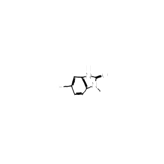 Cn1c(=O)[nH]c2cc(F)ccc21